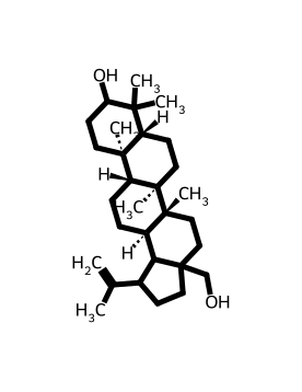 C=C(C)C1CCC2(CO)CC[C@]3(C)[C@H](CC[C@@H]4[C@@]5(C)CCC(O)C(C)(C)[C@@H]5CC[C@]43C)C12